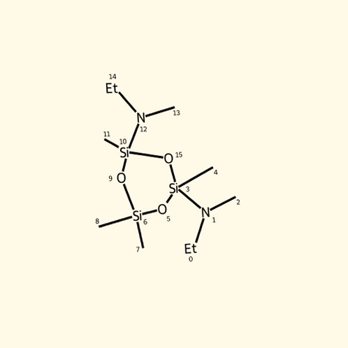 CCN(C)[Si]1(C)O[Si](C)(C)O[Si](C)(N(C)CC)O1